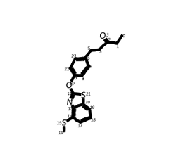 CCC(=O)CCc1ccc(Oc2nc3c(SC)cccc3s2)cc1